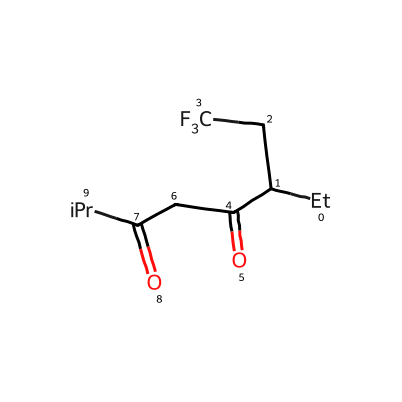 CCC(CC(F)(F)F)C(=O)CC(=O)C(C)C